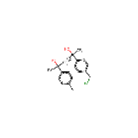 Cc1ccc(C(O)(C(F)(F)F)C(F)(F)F)cc1.OC(c1ccc(CBr)cc1)(C(F)(F)F)C(F)(F)F